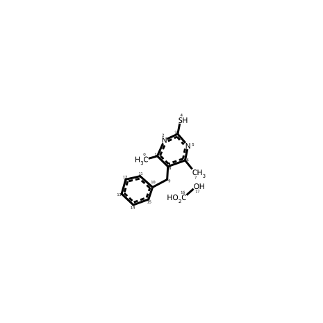 Cc1nc(S)nc(C)c1Cc1ccccc1.O=C(O)O